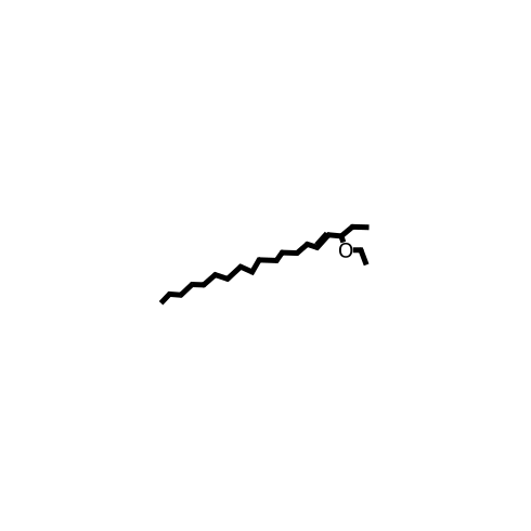 CCCCCCCCCCCCCCC=CC(CC)OCC